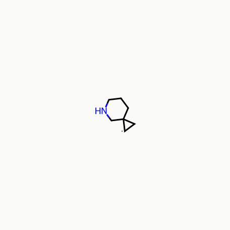 [CH]1CC12CCCNC2